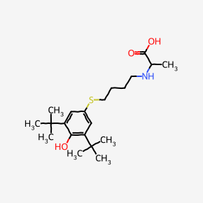 CC(NCCCCSc1cc(C(C)(C)C)c(O)c(C(C)(C)C)c1)C(=O)O